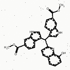 COC(=O)c1ccc2c(C(c3ccc4cccc(O)c4n3)c3c[nH]c4cc(C(=O)OC)ccc34)c[nH]c2c1